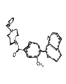 Cc1cc(C(=O)N2CCN(C=O)CC2)ccc1-c1cccc2cccnc12